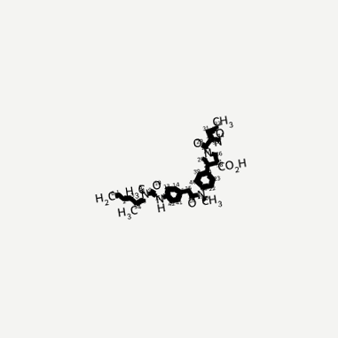 C=CC=CC(C)=CN(C)C(=O)Nc1ccc(CC(=O)N(C)c2ccc(C3CN(C(=O)c4cc(C)on4)CC3C(=O)O)cc2)cc1